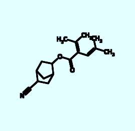 CC(C)=CC(C(=O)OC1CC2CC1CC2C#N)=C(C)C